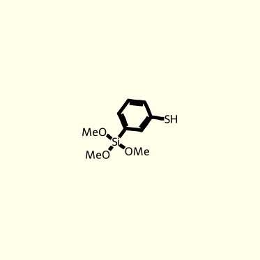 CO[Si](OC)(OC)c1cccc(S)c1